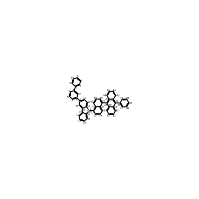 c1ccc(-c2cccc(-c3ccc4c(c3)c3ccccc3n4-c3cccc4c(-c5c6ccccc6c(-c6ccccc6)c6ccccc56)cccc34)c2)cc1